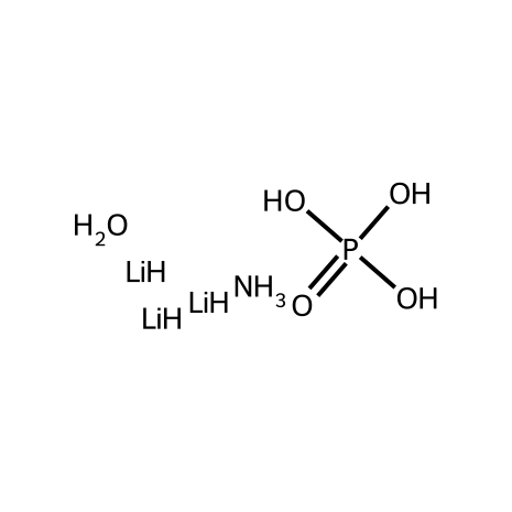 N.O.O=P(O)(O)O.[LiH].[LiH].[LiH]